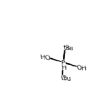 CC(C)(C)[PH](O)(O)C(C)(C)C